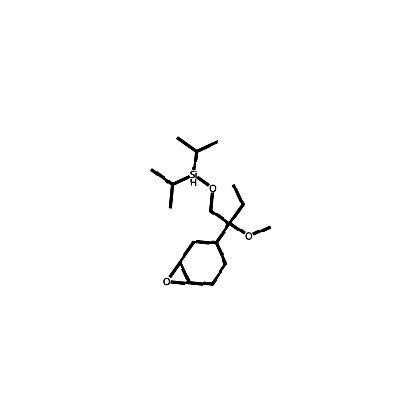 CCC(CO[SiH](C(C)C)C(C)C)(OC)C1CCC2OC2C1